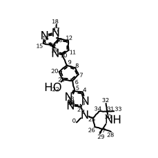 CN(c1ncc(-c2ccc(-c3ccc4c(cnn4C)n3)cc2O)nn1)C1CC(C)(C)NC(C)(C)C1